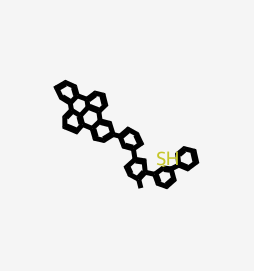 Cc1ccc(-c2cccc(-c3ccc4c(c3)c3cccc5c6ccccc6c6cccc4c6c53)c2)cc1-c1cccc(-c2ccccc2)c1S